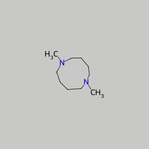 CN1CCCCN(C)CCCC1